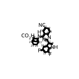 N#Cc1ccc2nc(-c3c[nH]c4c(F)cc(F)cc34)nc(NC3C4CCC(CC4)C3C(=O)O)c2c1